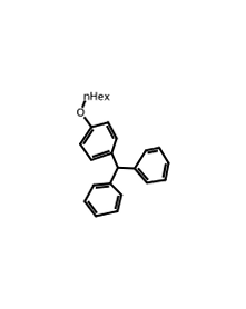 CCCCCCOc1ccc(C(c2ccccc2)c2ccccc2)cc1